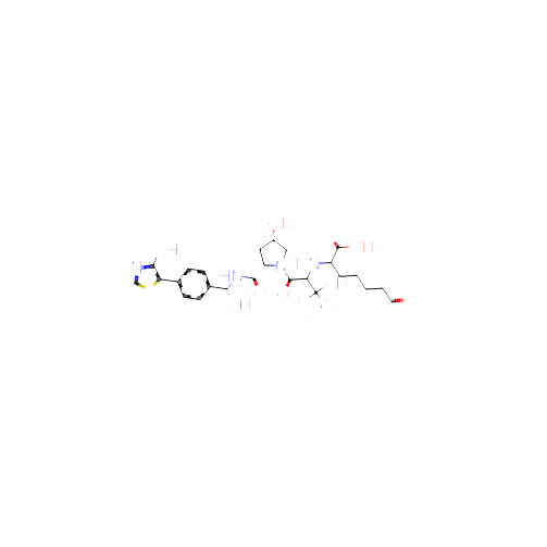 Cc1ncsc1-c1ccc([C@H](C)NC(=O)[C@@H]2C[C@@H](O)CN2C(=O)C(NC(CCCCC=O)C(=O)O)C(C)(C)C)cc1